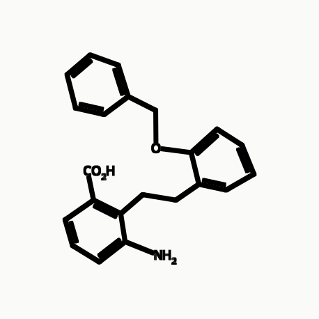 Nc1cccc(C(=O)O)c1CCc1ccccc1OCc1ccccc1